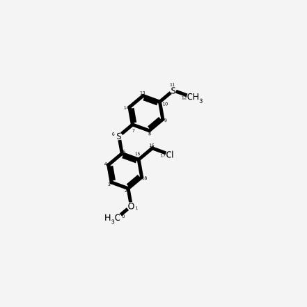 COc1ccc(Sc2ccc(SC)cc2)c(CCl)c1